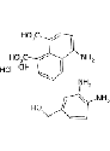 Cl.Cl.Nc1ccc(C(=O)O)c2c(C(=O)O)cccc12.Nc1ccc(CO)cc1N